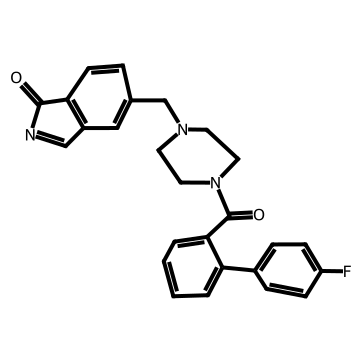 O=C1N=Cc2cc(CN3CCN(C(=O)c4ccccc4-c4ccc(F)cc4)CC3)ccc21